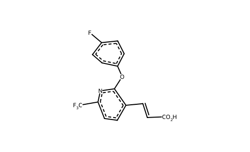 O=C(O)/C=C/c1ccc(C(F)(F)F)nc1Oc1ccc(F)cc1